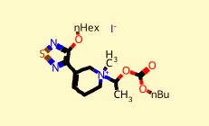 CCCCCCOc1nsnc1C1=CCC[N+](C)(C(C)OC(=O)OCCCC)C1.[I-]